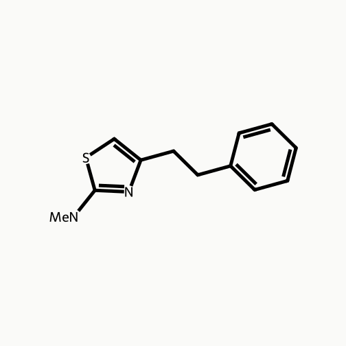 CNc1nc(CCc2ccccc2)cs1